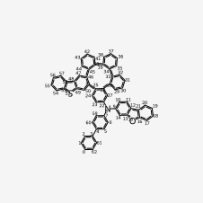 c1ccc(-c2ccc(N(c3ccc4c(c3)oc3ccccc34)c3ccc4c(c3)c3ccccc3c3ccccc3c3ccccc3c3cc5c(cc43)sc3ccccc35)cc2)cc1